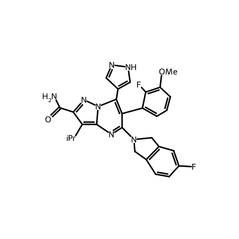 COc1cccc(-c2c(N3Cc4ccc(F)cc4C3)nc3c(C(C)C)c(C(N)=O)nn3c2-c2cn[nH]c2)c1F